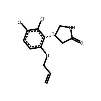 C=CCOc1ccc(Cl)c(Cl)c1[C@@H]1CNC(=O)C1